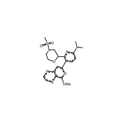 COc1nc(-c2ccc(N(C)C)nc2C2CN(S(C)(=O)=O)CCO2)cc2nccnc12